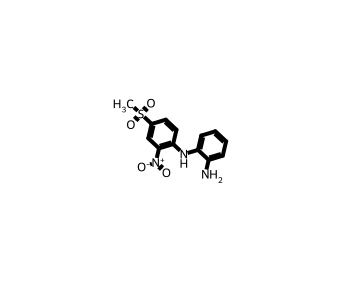 CS(=O)(=O)c1ccc(Nc2ccccc2N)c([N+](=O)[O-])c1